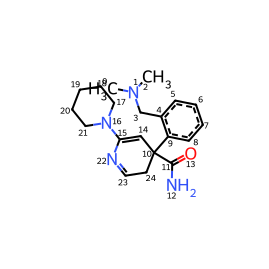 CN(C)Cc1ccccc1C1(C(N)=O)C=C(N2CCCCC2)N=CC1